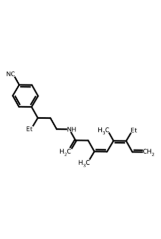 C=C/C(CC)=C(C)\C=C(\C)CC(=C)NCCC(CC)c1ccc(C#N)cc1